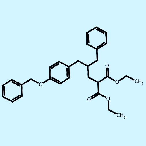 CCOC(=O)C(CC(Cc1ccccc1)Cc1ccc(OCc2ccccc2)cc1)C(=O)OCC